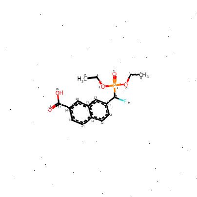 CCOP(=O)(OCC)C(F)c1ccc2ccc(C(=O)O)cc2c1